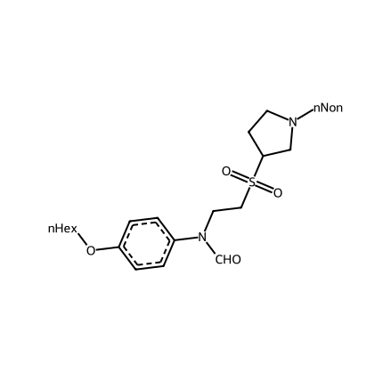 CCCCCCCCCN1CCC(S(=O)(=O)CCN(C=O)c2ccc(OCCCCCC)cc2)C1